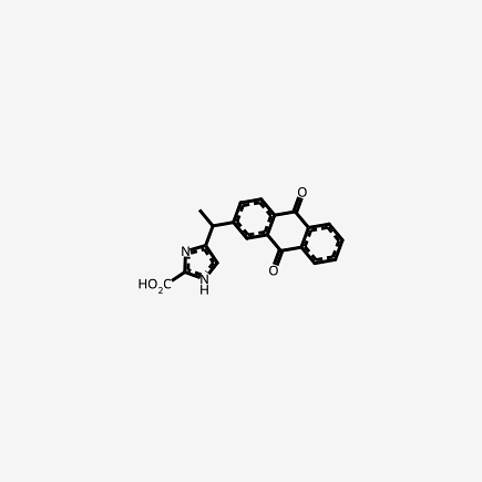 CC(c1ccc2c(c1)C(=O)c1ccccc1C2=O)c1c[nH]c(C(=O)O)n1